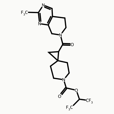 O=C(OC(C(F)(F)F)C(F)(F)F)N1CCC2(CC1)CC2C(=O)N1CCc2cnc(C(F)(F)F)nc2C1